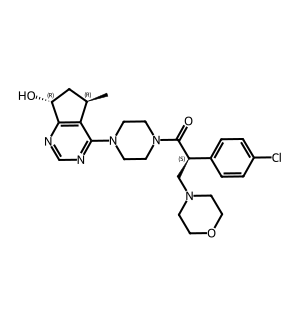 C[C@@H]1C[C@@H](O)c2ncnc(N3CCN(C(=O)[C@H](CN4CCOCC4)c4ccc(Cl)cc4)CC3)c21